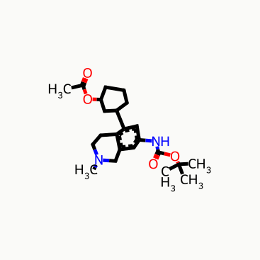 CC(=O)OC1CCCC(c2cc(NC(=O)OC(C)(C)C)cc3c2CCN(C)C3)C1